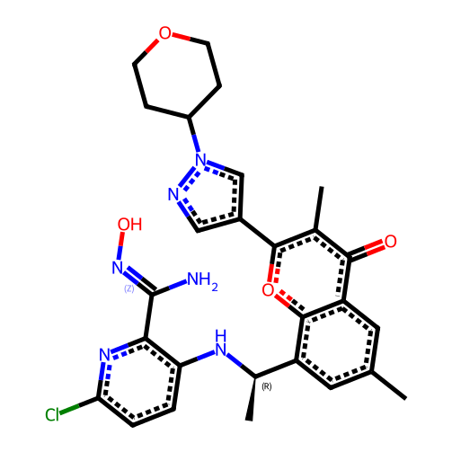 Cc1cc([C@@H](C)Nc2ccc(Cl)nc2/C(N)=N/O)c2oc(-c3cnn(C4CCOCC4)c3)c(C)c(=O)c2c1